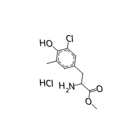 COC(=O)C(N)Cc1cc(C)c(O)c(Cl)c1.Cl